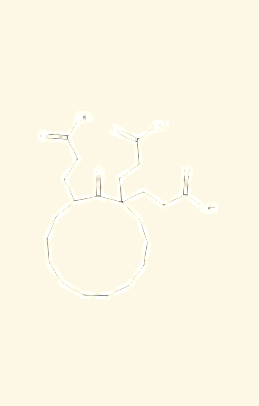 O=C(O)CCC1CCCCCCCCCCC(CCC(=O)O)(CCC(=O)O)C1=O